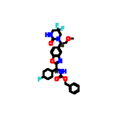 COC[C@H](c1ccc2oc([C@@H](NC(=O)OCc3ccccc3)C3CCC(F)CC3)nc2c1)N1CC(F)(F)CNC1=O